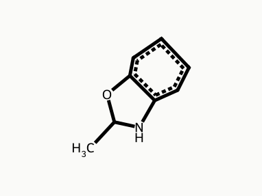 C[C]1Nc2ccccc2O1